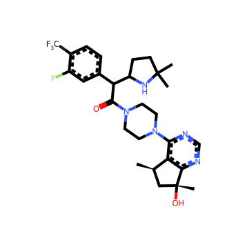 C[C@@H]1C[C@@](C)(O)c2ncnc(N3CCN(C(=O)C(c4ccc(C(F)(F)F)c(F)c4)C4CCC(C)(C)N4)CC3)c21